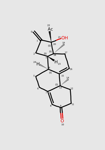 C=C1C[C@H]2[C@@H]3CCC4=CC(=O)CC[C@]4(C)C3=CC[C@]2(C)[C@]1(O)C(C)=O